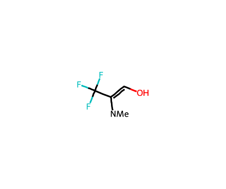 CN/C(=C\O)C(F)(F)F